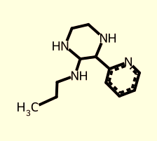 CCCNC1NCCNC1c1ccccn1